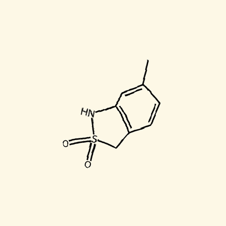 Cc1ccc2c(c1)NS(=O)(=O)C2